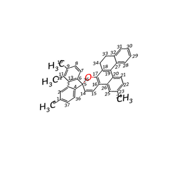 Cc1ccc(C2(c3ccc(C)c(C)c3)C=Cc3c(c4c(c5ccc(C)cc35)-c3ccccc3CC4)O2)cc1